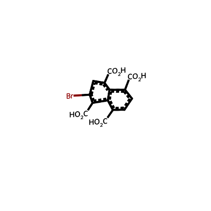 O=C(O)c1ccc(C(=O)O)c2c(C(=O)O)c(Br)cc(C(=O)O)c12